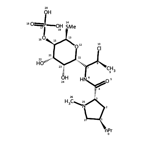 CCC[C@@H]1C[C@@H](C(=O)NC([C@H](C)Cl)[C@H]2O[C@H](SC)[C@H](OP(=O)(O)O)[C@@H](O)[C@H]2O)N(C)C1